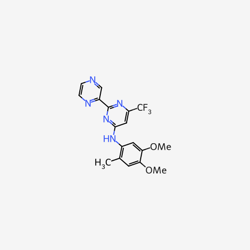 COc1cc(C)c(Nc2cc(C(F)(F)F)nc(-c3cnccn3)n2)cc1OC